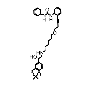 CC1(C)OCc2cc([C@H](O)CNCCCCCCOCCC#Cc3ccccc3NC(=O)Nc3ccccc3)ccc2O1